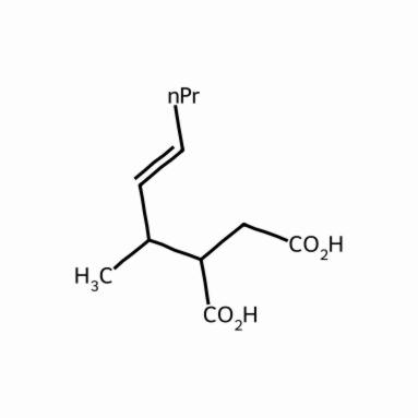 CCCC=CC(C)C(CC(=O)O)C(=O)O